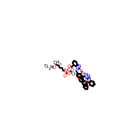 CCOc1nc2cccc(C(=O)OC(C)(C)OC(=O)OCCCCC(C)O[N+](=O)[O-])c2n1Cc1ccc(-c2ccccc2)c(-c2nnnn2C(c2ccccc2)(c2ccccc2)c2ccccc2)c1